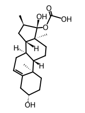 C[C@@H]1C[C@H]2[C@@H]3CC=C4C[C@@H](O)CC[C@]4(C)[C@H]3CC[C@]2(C)[C@@]1(O)OC(=O)O